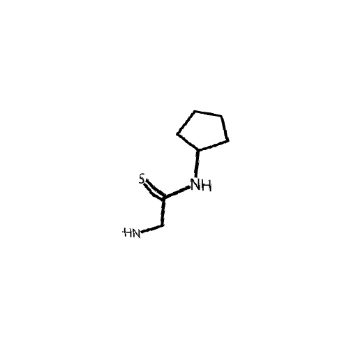 [NH]CC(=S)NC1CCCC1